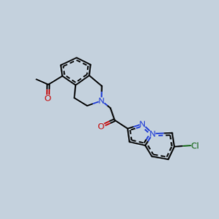 CC(=O)c1cccc2c1CCN(CC(=O)c1cc3ccc(Cl)cn3n1)C2